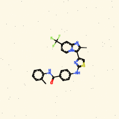 Cc1ccccc1NC(=O)c1ccc(Nc2nc(-c3c(C)nc4cc(C(F)(F)F)ccn34)cs2)cc1